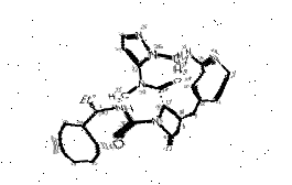 CC[C@@H](NC(=O)N1C(=O)[C@H](Cc2ccnc(N)c2)[C@H]1C(=O)N(C)c1ccnn1C)C1CCCCC1